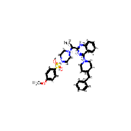 COc1ccc(S(=O)(=O)N2CCN(C(C)c3nc(N4CCC(Cc5ccccc5)CC4)c4ccccc4n3)CC2)cc1